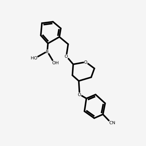 N#Cc1ccc(OC2CCOC(OCc3ccccc3B(O)O)C2)cc1